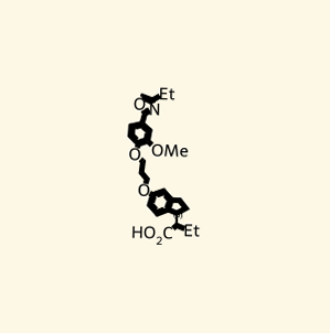 CCc1coc(-c2ccc(OCCCOc3ccc4c(c3)CC[C@H]4C(CC)C(=O)O)c(OC)c2)n1